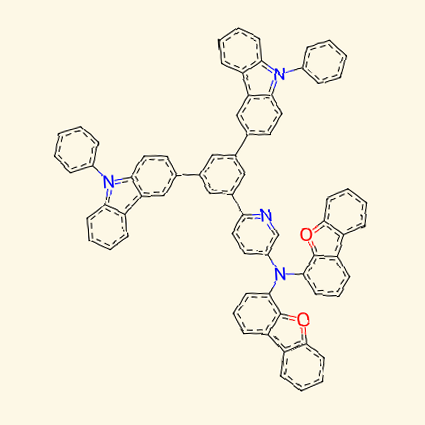 c1ccc(-n2c3ccccc3c3cc(-c4cc(-c5ccc6c(c5)c5ccccc5n6-c5ccccc5)cc(-c5ccc(N(c6cccc7c6oc6ccccc67)c6cccc7c6oc6ccccc67)cn5)c4)ccc32)cc1